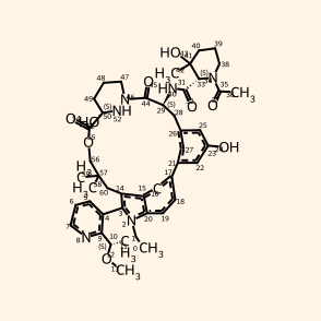 CCn1c(-c2cccnc2[C@H](C)OC)c2c3cc(ccc31)-c1cc(O)cc(c1)C[C@H](NC(=O)[C@H]1N(C(C)=O)CCCC1(C)O)C(=O)N1CCC[C@@](O)(N1)C(=O)OCC(C)(C)C2